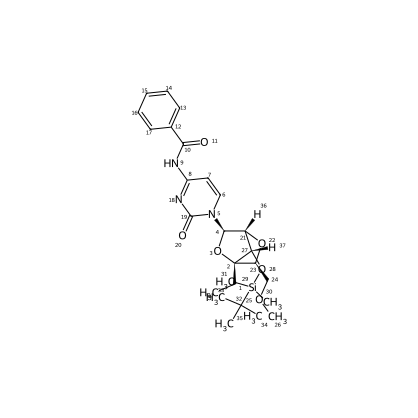 CC[C@]12O[C@@H](n3ccc(NC(=O)c4ccccc4)nc3=O)[C@H](O[C@H]1COC)[C@@H]2O[Si](C)(C)C(C)(C)C